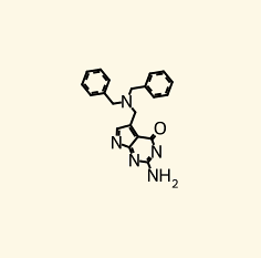 NC1=NC(=O)C2=C(CN(Cc3ccccc3)Cc3ccccc3)C=NC2=N1